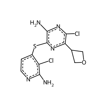 Nc1nc(Cl)c(C2COC2)nc1Sc1ccnc(N)c1Cl